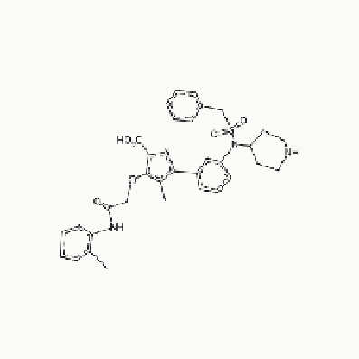 Cc1ccccc1NC(=O)COc1c(C(=O)O)sc(-c2cccc(N(C3CCNCC3)S(=O)(=O)Cc3ccccc3)c2)c1C